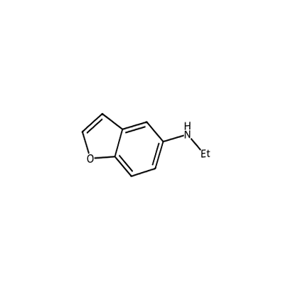 CCNc1ccc2occc2c1